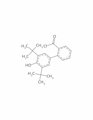 CC(C)(C)c1cc(-c2ccccc2C(=O)Cl)cc(C(C)(C)C)c1O